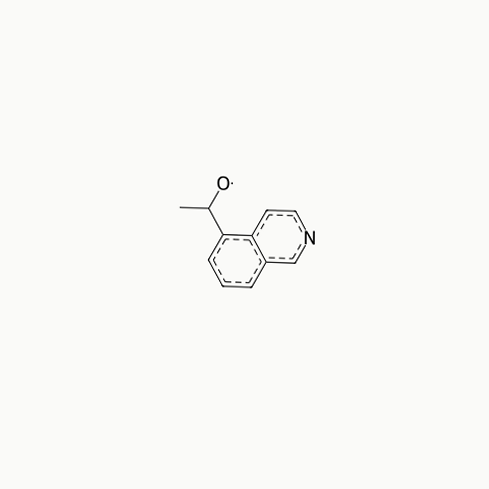 CC([O])c1cccc2cnccc12